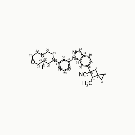 CC1C2(CC2)CC1(C#N)c1ccc2cnn(-c3cc(N4CCN5CCOC[C@@H]5C4)ncn3)c2c1